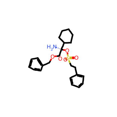 N[C@](OS(=O)(=O)CCc1ccccc1)(C(=O)OCc1ccccc1)C1CCCCC1